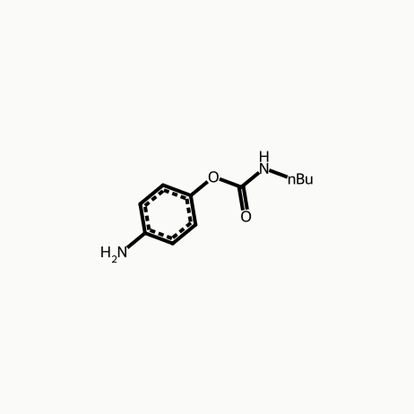 CCCCNC(=O)Oc1ccc(N)cc1